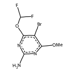 COc1nc(N)nc(OC(F)F)c1Br